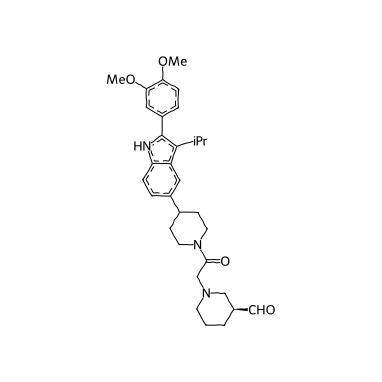 COc1ccc(-c2[nH]c3ccc(C4CCN(C(=O)CN5CCC[C@H](C=O)C5)CC4)cc3c2C(C)C)cc1OC